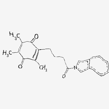 CC1=C(C)C(=O)C(CCCC(=O)n2cc3ccccc3c2)=C(C)C1=O